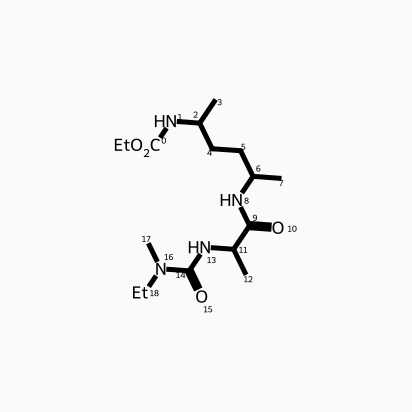 CCOC(=O)NC(C)CCC(C)NC(=O)C(C)NC(=O)N(C)CC